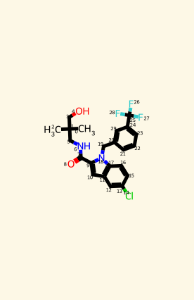 CC(C)(CO)CNC(=O)c1cc2cc(Cl)ccc2n1Cc1cccc(C(F)(F)F)c1